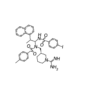 Cc1ccc(S(=O)(=O)N(C[C@@H]2CCCN(C(=N)N)C2)C(NS(=O)(=O)c2ccc(I)cc2)C(C)c2cccc3ccccc23)cc1